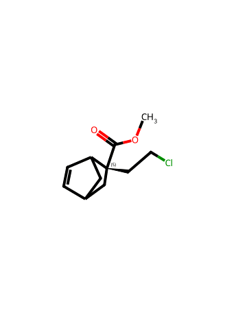 COC(=O)[C@]1(CCCl)CC2C=CC1C2